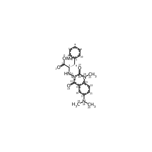 COC(=O)[C@H](Cc1ccccc1)Nn1c(=O)c2cc(N(C)C)ccc2n(C)c1=O